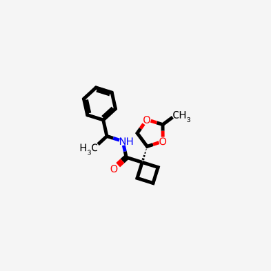 CC1OC[C@@H](C2(C(=O)NC(C)c3ccccc3)CCC2)O1